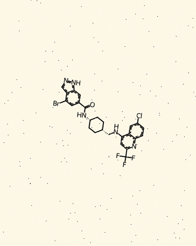 O=C(N[C@H]1CC[C@@H](CNc2cc(C(F)(F)F)nc3ccc(Cl)cc23)CC1)c1cc(Br)c2cn[nH]c2c1